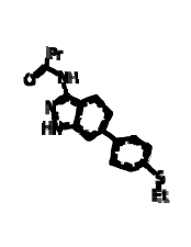 CCSc1ccc(-c2ccc3c(NC(=O)C(C)C)n[nH]c3c2)cc1